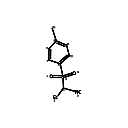 [C-]#[N+]C(CC)S(=O)(=O)c1ccc(C)cc1